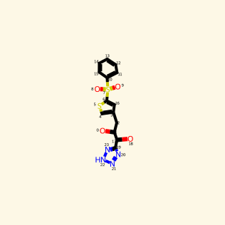 O=C(Cc1csc(S(=O)(=O)c2ccccc2)c1)C(=O)c1nn[nH]n1